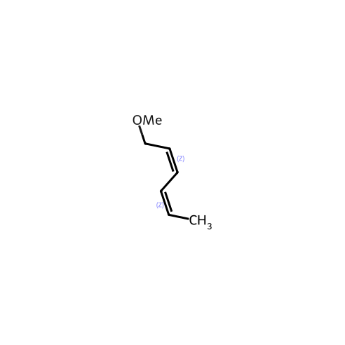 C/C=C\C=C/COC